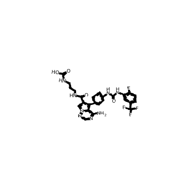 Nc1ncnn2cc(C(=O)NCCCNC(=O)O)c(-c3ccc(NC(=O)Nc4cc(C(F)(F)F)ccc4F)cc3)c12